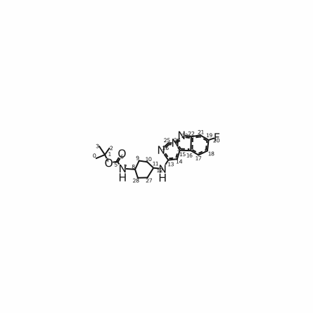 CC(C)(C)OC(=O)NC1CCC(Nc2cc3c4ccc(F)cc4nn3cn2)CC1